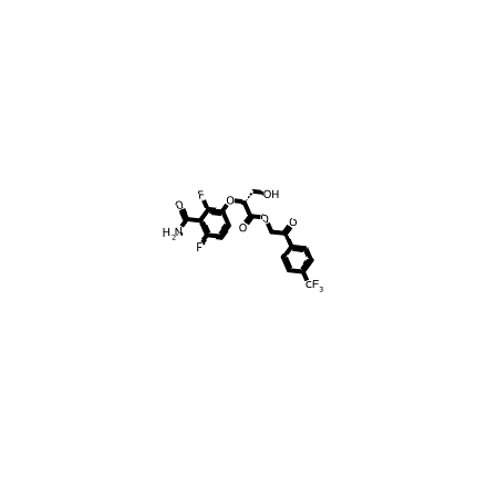 NC(=O)c1c(F)ccc(O[C@H](CO)C(=O)OCC(=O)c2ccc(C(F)(F)F)cc2)c1F